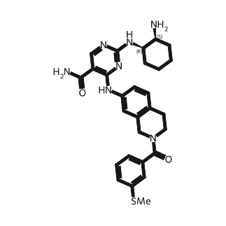 CSc1cccc(C(=O)N2CCc3ccc(Nc4nc(N[C@@H]5CCCC[C@@H]5N)ncc4C(N)=O)cc3C2)c1